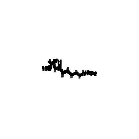 CCCCCCCCCCCCNCP(C)(=O)O